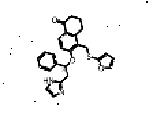 O=C1CCCc2c1ccc(O[C@@H](Cc1ncc[nH]1)c1ccccc1)c2CSc1ccco1